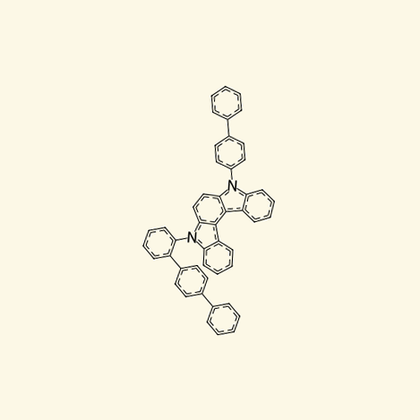 c1ccc(-c2ccc(-c3ccccc3-n3c4ccccc4c4c5c6ccccc6n(-c6ccc(-c7ccccc7)cc6)c5ccc43)cc2)cc1